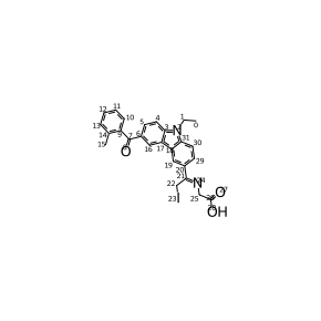 CCn1c2ccc(C(=O)c3ccccc3C)cc2c2cc(C(CI)=NCC(=O)O)ccc21